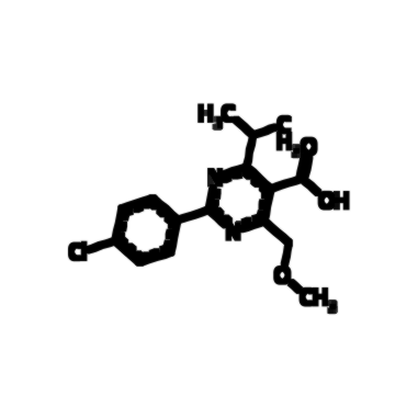 COCc1nc(-c2ccc(Cl)cc2)nc(C(C)C)c1C(=O)O